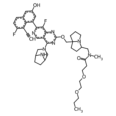 C#Cc1c(F)ccc2cc(O)cc(-c3ncc4c(N5CC6CCC(C5)N6)nc(OCC56CCCN5C(CN(C)C(=O)CCOCCOCCC)CC6)nc4c3F)c12